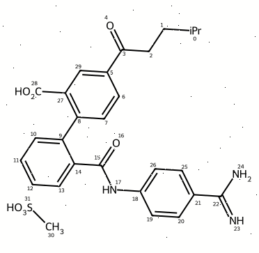 CC(C)CCC(=O)c1ccc(-c2ccccc2C(=O)Nc2ccc(C(=N)N)cc2)c(C(=O)O)c1.CS(=O)(=O)O